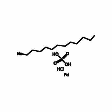 CCCCCCCCCCC[CH2][Na].Cl.O=S(=O)(O)O.[Pd]